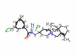 CC1=C(CN2CCC(F)(CNC(=O)c3cc(Cl)cc(Cl)c3)CC2)C(C)(C)CCC1